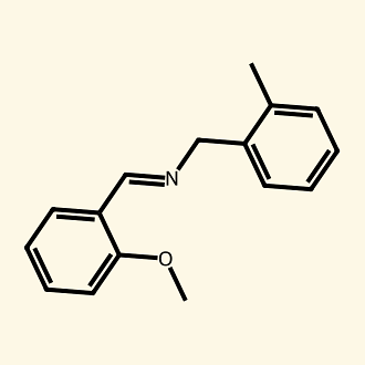 COc1ccccc1/C=N/Cc1ccccc1C